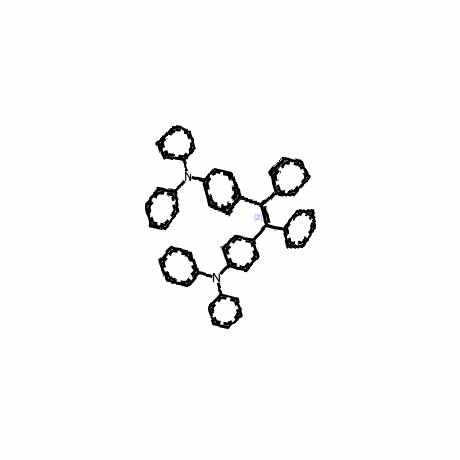 c1ccc(/C(=C(\c2ccccc2)c2ccc(N(c3ccccc3)c3ccccc3)cc2)c2ccc(N(c3ccccc3)c3ccccc3)cc2)cc1